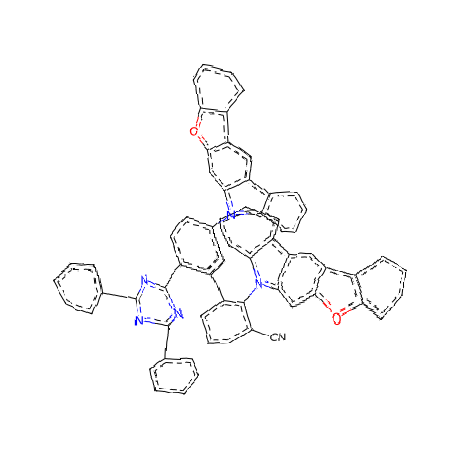 N#Cc1cccc(-c2cc(-n3c4ccccc4c4cc5c(cc43)oc3ccccc35)ccc2-c2nc(-c3ccccc3)nc(-c3ccccc3)n2)c1-n1c2ccccc2c2cc3c(cc21)oc1ccccc13